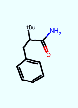 CC(C)(C)C(Cc1ccccc1)C(N)=O